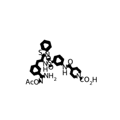 CC(=O)O/N=C(/N)c1cccc(CC(NS(=O)(=O)c2cccc(NC(=O)C3CCN(C(=O)O)CC3)c2)c2nc3ccccc3s2)c1